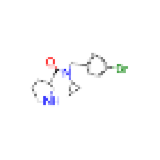 O=C([C@@H]1CCCNC1)N(Cc1ccc(Br)cc1)C1CC1